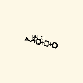 Clc1c(N2CCN(c3ccccc3)CC2)ccn2c(CC3CC3)nnc12